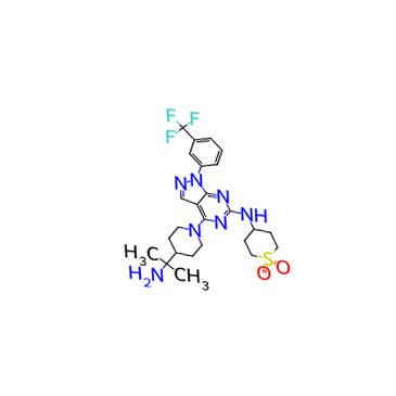 CC(C)(N)C1CCN(c2nc(NC3CCS(=O)(=O)CC3)nc3c2cnn3-c2cccc(C(F)(F)F)c2)CC1